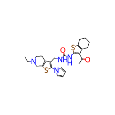 CCN1CCc2c(sc(-n3cccc3)c2CNC(=O)Nc2sc3c(c2C(C)=O)CCCC3)C1